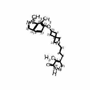 Cc1c(CCCN2CC3(CC(Oc4ccc5cnn(C)c5c4C)C3)C2)cn[nH]c1=O